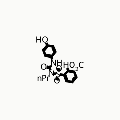 CCCN(C(=O)Nc1ccc(O)cc1)S(=O)(=O)c1ccccc1C(=O)O